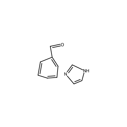 O=Cc1ccccc1.c1c[nH]cn1